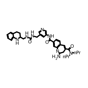 CCCN(CCC)C(=O)C1=Cc2ccc(C(=O)Nc3cncc(CNC(=O)NCC4CCc5ccccc5N4)c3)cc2N=C(N)C1